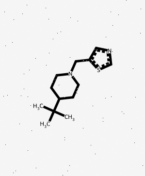 CC(C)(C)C1CCN(Cc2cncs2)CC1